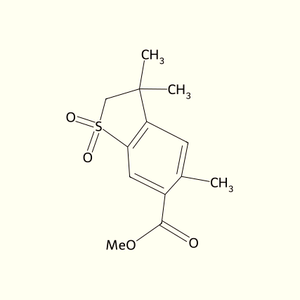 COC(=O)c1cc2c(cc1C)C(C)(C)CS2(=O)=O